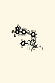 CN(C)CCN(CC(=O)OCc1ccccc1)Cc1cccc(COc2ccc(-c3cc(F)c(F)c4ccoc34)cc2)c1